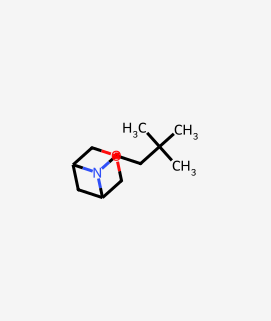 CC(C)(C)CCN1C2COCC1C2